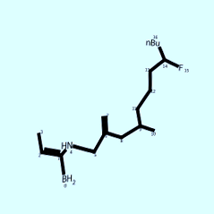 B/C(=C/C)NCC(=C)CC(C)CCCC(F)CCCC